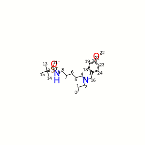 CCCN(CCCCCN[S+]([O-])C(C)(C)C)Cc1ccc(OC)cc1